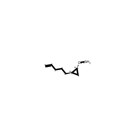 C=CCCC[C@@H]1C[C@H]1O[SiH3]